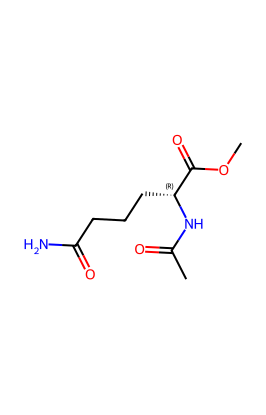 COC(=O)[C@@H](CCCC(N)=O)NC(C)=O